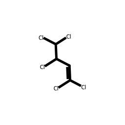 ClC(Cl)=CC(Cl)C(Cl)Cl